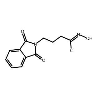 O=C1c2ccccc2C(=O)N1CCCC(Cl)=NO